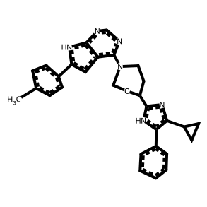 Cc1ccc(-c2cc3c(N4CCC(c5nc(C6CC6)c(-c6ccccc6)[nH]5)CC4)ncnc3[nH]2)cc1